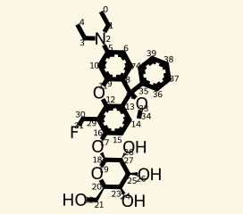 CCN(CC)c1ccc2c(c1)Oc1c(ccc(O[C@@H]3O[C@H](CO)[C@H](O)[C@H](O)[C@H]3O)c1CF)C2(OC)c1ccccc1